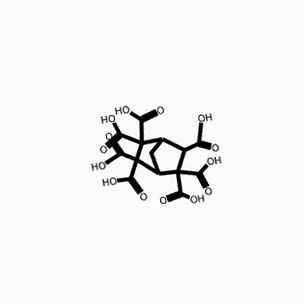 O=C(O)C1C2CC(C1(C(=O)O)C(=O)O)C(C(=O)O)(C(=O)O)C2(C(=O)O)C(=O)O